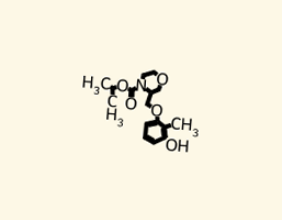 Cc1c(O)cccc1OCC1COCCN1C(=O)OC(C)C